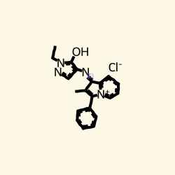 CCn1ncc(/N=C2\C(C)=C(c3ccccc3)[n+]3ccccc32)c1O.[Cl-]